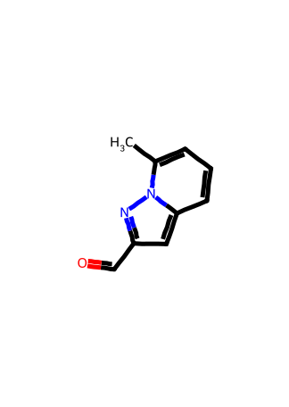 Cc1cccc2cc(C=O)nn12